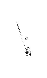 CCCCCCCCCCCCCCCCCC(=O)OB(O)O.[Zr]